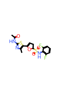 CC(=O)Nc1nc(C)c(C2=CCC(S(=O)(=O)Nc3c(F)cccc3F)O2)s1